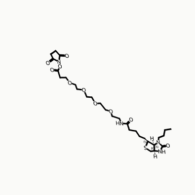 CCCCN1C(=O)N[C@H]2CS[C@@H](CCCCC(=O)NCCOCCOCCOCCOCCC(=O)ON3C(=O)CCC3=O)[C@H]21